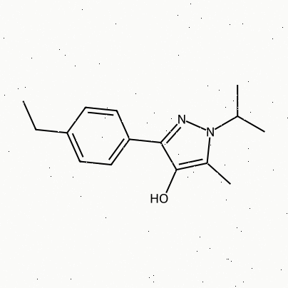 CCc1ccc(-c2nn(C(C)C)c(C)c2O)cc1